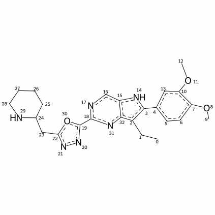 CCc1c(-c2ccc(OC)c(OC)c2)[nH]c2cnc(-c3nnc(CC4CCCCN4)o3)nc12